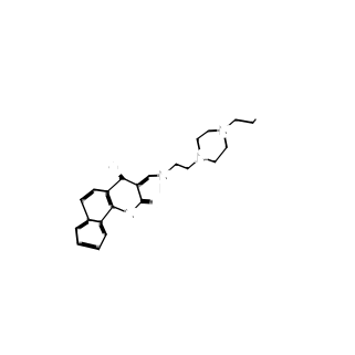 O=C1Nc2c(ccc3ccccc23)C(=O)/C1=C/NCCN1CCN(CCO)CC1